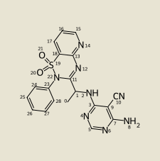 CC(Nc1ncnc(N)c1C#N)C1=Nc2ncccc2S(=O)(=O)N1c1ccccc1